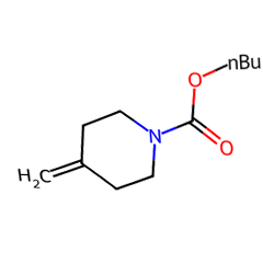 C=C1CCN(C(=O)OCCCC)CC1